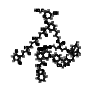 COCCN(CCOC12CC3(C)CC(C)(CC(Cn4ncc(-c5ccc(N6CCc7c(OC)ccc(C(=O)Nc8nc9ccccc9s8)c7C6)nc5C(=O)O)c4C)(C3)C1)C2)C(=O)OC/C=C/c1ccc(O[C@H]2C[C@@H](O)C[C@@H](C(=O)O)O2)c(NC(=O)CCNC(=O)CCNC(=O)CCN2C(=O)C=CC2=O)c1